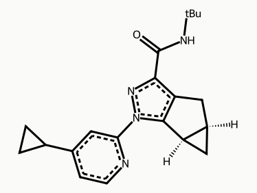 CC(C)(C)NC(=O)c1nn(-c2cc(C3CC3)ccn2)c2c1C[C@H]1C[C@@H]21